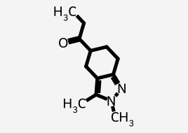 CCC(=O)C1CCc2nn(C)c(C)c2C1